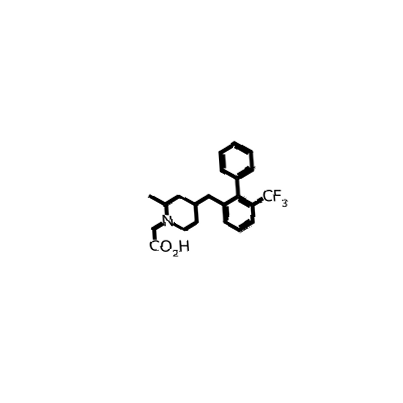 CC1CC(Cc2cccc(C(F)(F)F)c2-c2ccccc2)CCN1CC(=O)O